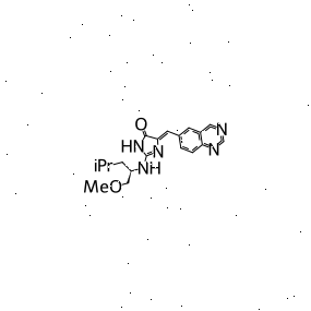 COC[C@@H](CC(C)C)NC1=N/C(=C\c2ccc3ncncc3c2)C(=O)N1